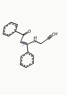 C#CCN/C(=C\C(=O)c1ccccc1)c1ccccc1